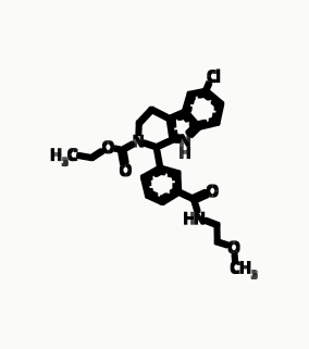 CCOC(=O)N1CCc2c([nH]c3ccc(Cl)cc23)C1c1cccc(C(=O)NCCOC)c1